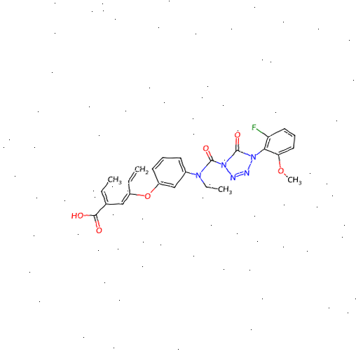 C=C/C(=C\C(=C/C)C(=O)O)Oc1cccc(N(CC)C(=O)n2nnn(-c3c(F)cccc3OC)c2=O)c1